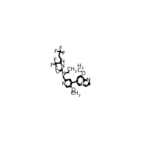 CCN(Cc1cc(-c2cc(OC)c3nccn3c2)c(OC)cn1)C(=O)NC(CCC(F)(F)F)C(F)(F)F